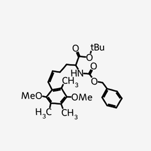 COc1c(C)c(C)c(OC)c(/C=C\CCC(NC(=O)OCc2ccccc2)C(=O)OC(C)(C)C)c1C